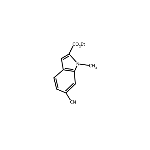 CCOC(=O)c1cc2ccc(C#N)cc2n1C